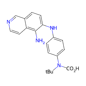 CC(C)(C)N(C(=O)O)c1ccc(Nc2ccc3cnccc3c2N)cc1